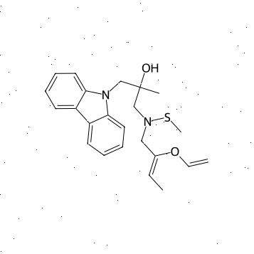 C=CO/C(=C\C)CN(CC(C)(O)Cn1c2ccccc2c2ccccc21)SC